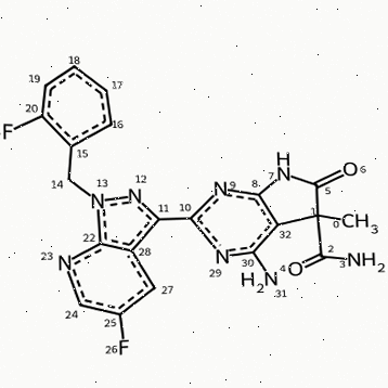 CC1(C(N)=O)C(=O)Nc2nc(-c3nn(Cc4ccccc4F)c4ncc(F)cc34)nc(N)c21